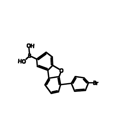 OB(O)c1ccc2oc3c(-c4ccc(Br)cc4)cccc3c2c1